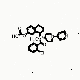 C[N+](C(=O)c1ccccc1Cl)(C1CCN(c2ccncc2)CC1)C1CCCc2ccc(OC(=O)O)cc21